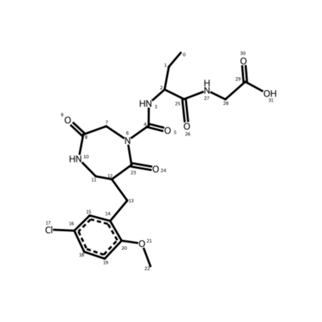 CCC(NC(=O)N1CC(=O)NCC(Cc2cc(Cl)ccc2OC)C1=O)C(=O)NCC(=O)O